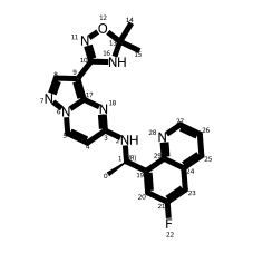 C[C@@H](Nc1ccn2ncc(C3=NOC(C)(C)N3)c2n1)c1cc(F)cc2cccnc12